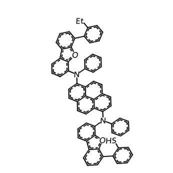 CCc1ccccc1-c1cccc2c1oc1c(N(c3ccccc3)c3ccc4ccc5c(N(c6ccccc6)c6cccc7c6oc6c(-c8ccccc8S)cccc67)ccc6ccc3c4c65)cccc12